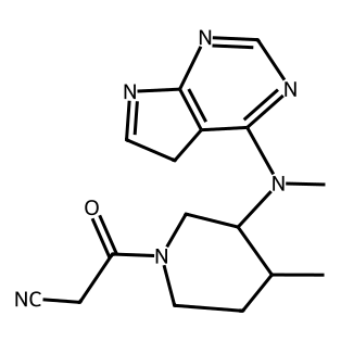 CC1CCN(C(=O)CC#N)CC1N(C)c1ncnc2c1CC=N2